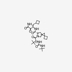 CC(C)(C)NC(=O)N[C@H](C(=O)N1C[C@@]2(C[C@H]1C(=O)NC(CC1CCC1)C(=O)C(N)=O)CC21CCC1)C(C)(C)C